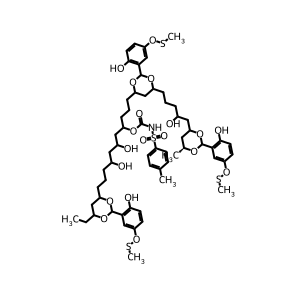 CCC1CC(CCCC(O)CC(O)CC(CCCC2CC(CCCC(O)CC3C[C@H](C)OC(c4cc(OSC)ccc4O)O3)OC(c3cc(OSC)ccc3O)O2)OC(=O)NS(=O)(=O)c2ccc(C)cc2)OC(c2cc(OSC)ccc2O)O1